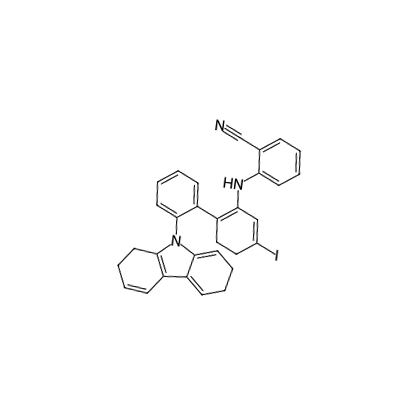 N#Cc1ccccc1NC1=C(c2ccccc2-n2c3c(c4c2=CCCC=4)C=CCC3)CCC(I)=C1